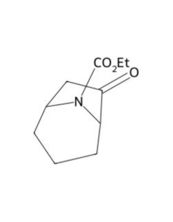 CCOC(=O)N1C2CCCC1C(=O)C2